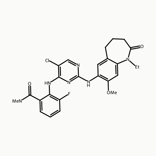 CCN1C(=O)CCCc2cc(Nc3ncc(Cl)c(Nc4c(F)cccc4C(=O)NC)n3)c(OC)cc21